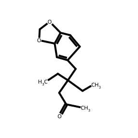 CCC(CC)(CC(C)=O)Cc1ccc2c(c1)OCO2